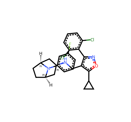 Fc1cccc(N2[C@@H]3CC[C@H]2C[C@@H](NCc2c(-c4c(Cl)cccc4Cl)noc2C2CC2)C3)c1